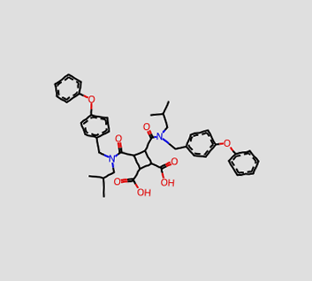 CC(C)CN(Cc1ccc(Oc2ccccc2)cc1)C(=O)C1C(C(=O)O)C(C(=O)O)C1C(=O)N(Cc1ccc(Oc2ccccc2)cc1)CC(C)C